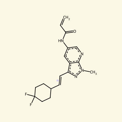 C=CC(=O)Nc1cnc2c(c1)c(/C=C/C1CCC(F)(F)CC1)nn2C